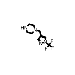 FC(F)(F)n1cc(CN2CCNCC2)cn1